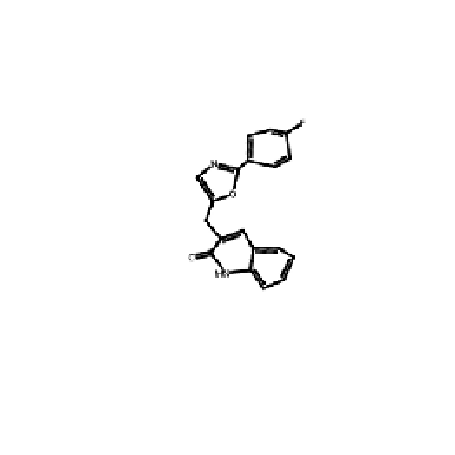 O=c1[nH]c2ccccc2cc1Cc1cnc(-c2ccc(F)cc2)o1